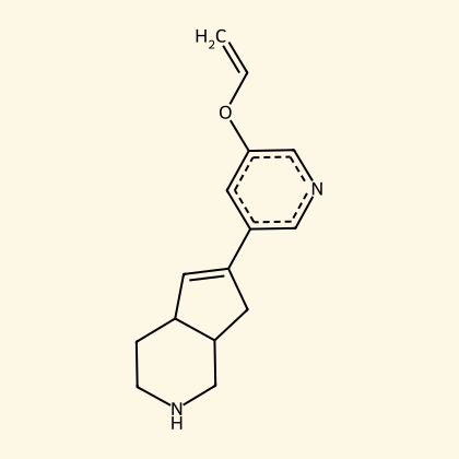 C=COc1cncc(C2=CC3CCNCC3C2)c1